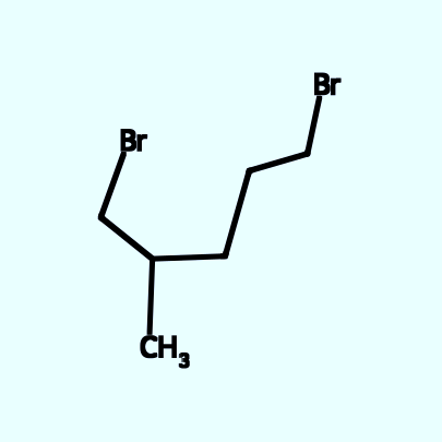 CC(CBr)CCCBr